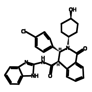 O=C(Nc1nc2ccccc2[nH]1)[C@@H]1c2ccccc2C(=O)N([C@H]2CC[C@H](O)CC2)[C@H]1c1ccc(Cl)cc1